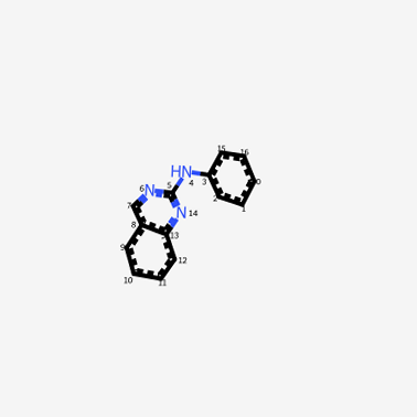 c1ccc(Nc2ncc3ccccc3n2)cc1